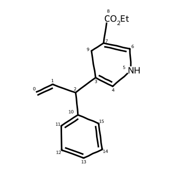 C=CC(C1=CNC=C(C(=O)OCC)C1)c1ccccc1